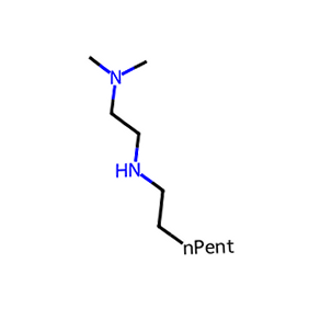 CCCCCCCNCCN(C)C